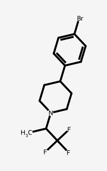 CC(N1CCC(c2ccc(Br)cc2)CC1)C(F)(F)F